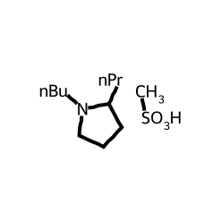 CCCCN1CCCC1CCC.CS(=O)(=O)O